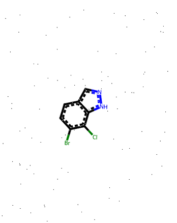 Clc1c(Br)ccc2cn[nH]c12